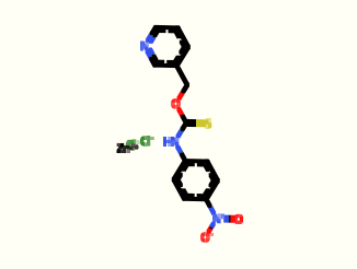 O=[N+]([O-])c1ccc(NC(=S)OCc2cccnc2)cc1.[Cl-].[Cl-].[Zn+2]